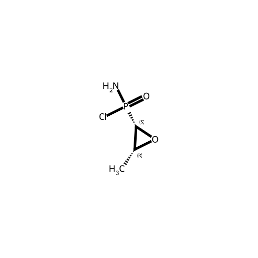 C[C@H]1O[C@H]1P(N)(=O)Cl